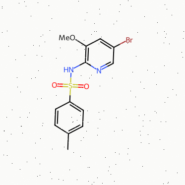 COc1cc(Br)cnc1NS(=O)(=O)c1ccc(C)cc1